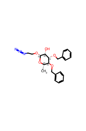 C[C@@H]1O[C@H](OCCN=[N+]=[N-])[C@H](O)[C@H](OCc2ccccc2)[C@H]1OCc1ccccc1